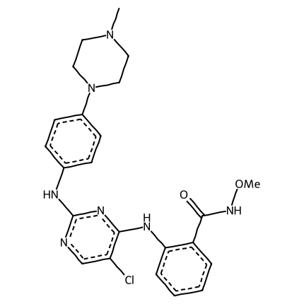 CONC(=O)c1ccccc1Nc1nc(Nc2ccc(N3CCN(C)CC3)cc2)ncc1Cl